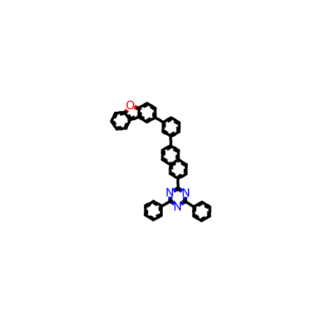 c1ccc(-c2nc(-c3ccccc3)nc(-c3ccc4cc(-c5cccc(-c6ccc7oc8ccccc8c7c6)c5)ccc4c3)n2)cc1